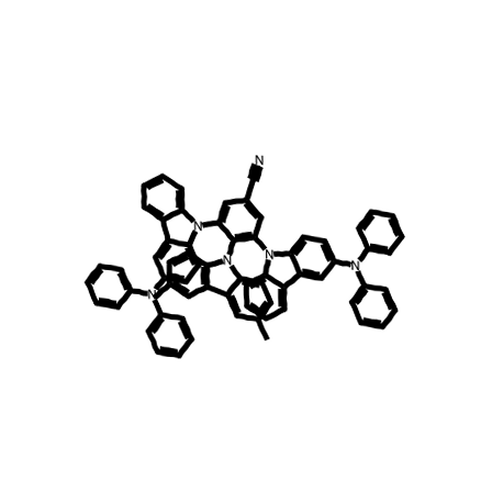 Cc1ccc2c(c1)c1cc(C)ccc1n2-c1c(-n2c3ccccc3c3cc(N(c4ccccc4)c4ccccc4)ccc32)cc(C#N)cc1-n1c2ccccc2c2cc(N(c3ccccc3)c3ccccc3)ccc21